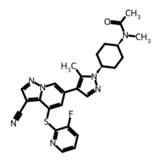 CC(=O)N(C)[C@H]1CC[C@@H](n2ncc(-c3cc(Sc4ncccc4F)c4c(C#N)cnn4c3)c2C)CC1